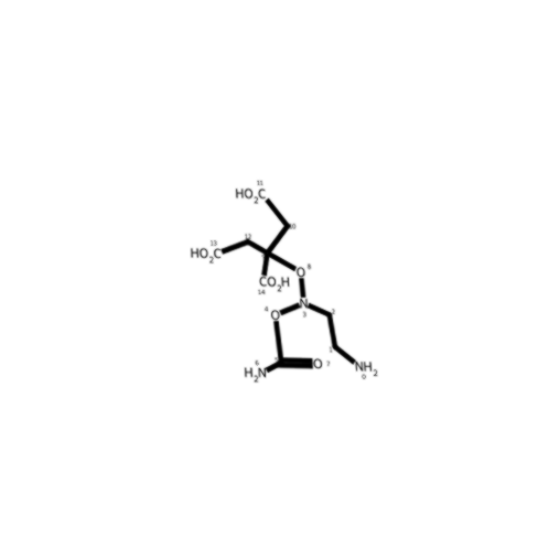 NCCN(OC(N)=O)OC(CC(=O)O)(CC(=O)O)C(=O)O